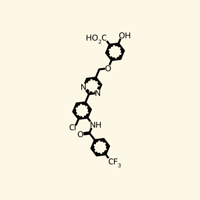 O=C(Nc1cc(-c2ncc(COc3ccc(O)c(C(=O)O)c3)cn2)ccc1Cl)c1ccc(C(F)(F)F)cc1